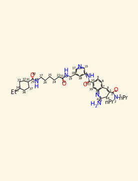 CCCN(CCC)C(=O)C1=Cc2ccc(C(=O)Nc3cncc(CNC(=O)CCCCCNC(=O)C4CCC(CC)CC4)c3)cc2N=C(N)C1